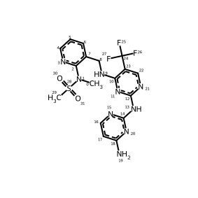 CN(c1ncccc1CNc1nc(Nc2nccc(N)n2)ncc1C(F)(F)F)S(C)(=O)=O